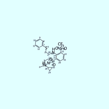 CN(CC[C@H](CSc1ccccc1)Nc1c(S(N)(=O)=O)cccc1S(=O)(=O)C(F)(F)F)C1CC1